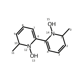 CC1C=CC=C(C2=CC=CC(C)N2O)N1O